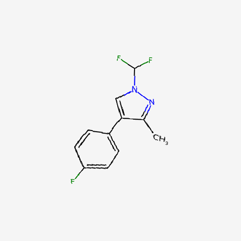 Cc1nn(C(F)F)cc1-c1ccc(F)cc1